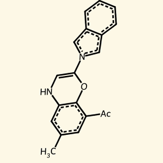 CC(=O)c1cc(C)cc2c1OC(n1cc3ccccc3c1)=CN2